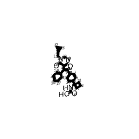 O=C(O)NC1(c2ccc(-c3oc4ncn(CC5CC5)c(=O)c4c3-c3ccccc3)cc2)CCC1